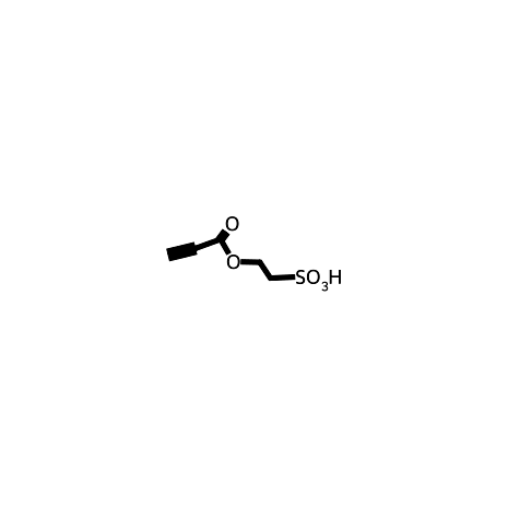 C#CC(=O)OCCS(=O)(=O)O